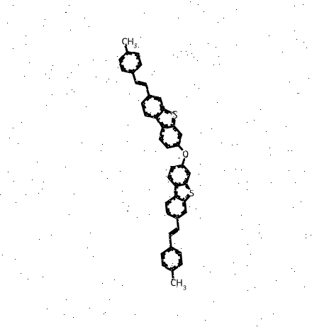 Cc1ccc(/C=C/c2ccc3c(c2)sc2cc(Oc4ccc5c(c4)sc4cc(/C=C/c6ccc(C)cc6)ccc45)ccc23)cc1